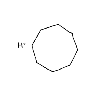 C1CCCCCCC1.[H+]